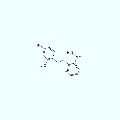 COc1cc(Br)ccc1OCc1c(C)cccc1N(C)N